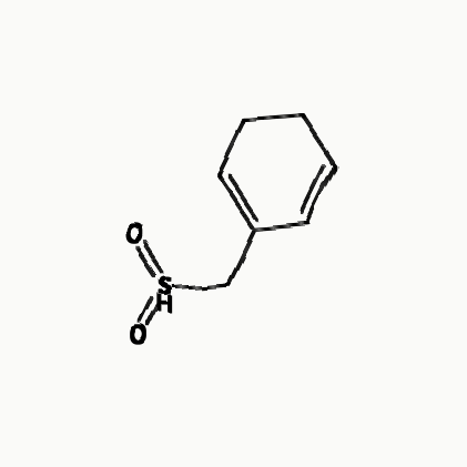 O=[SH](=O)CC1=CCCC=C1